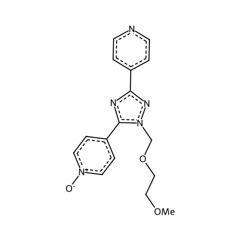 COCCOCn1nc(-c2ccncc2)nc1-c1cc[n+]([O-])cc1